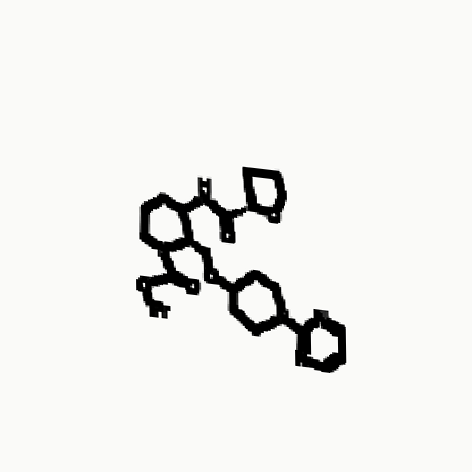 CC(C)OC(=O)N1CCC[C@@H](NC(=O)[C@@H]2CCCO2)[C@H]1COC1CCN(c2ncccn2)CC1